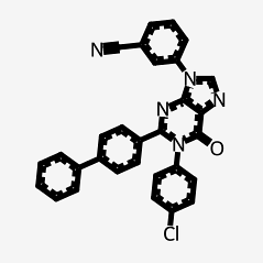 N#Cc1cccc(-n2cnc3c(=O)n(-c4ccc(Cl)cc4)c(-c4ccc(-c5ccccc5)cc4)nc32)c1